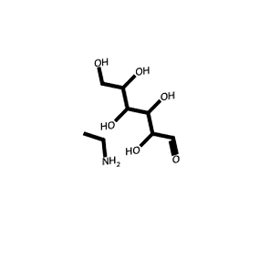 CCN.O=CC(O)C(O)C(O)C(O)CO